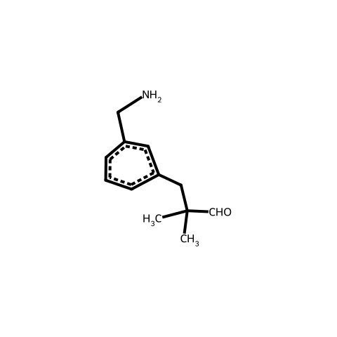 CC(C)(C=O)Cc1cccc(CN)c1